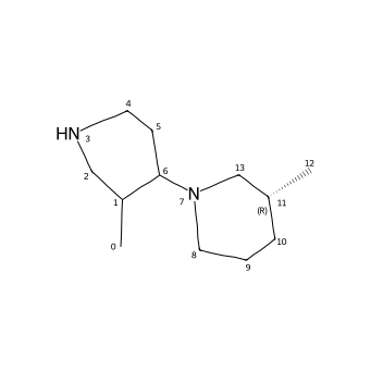 CC1CNCCC1N1CCC[C@@H](C)C1